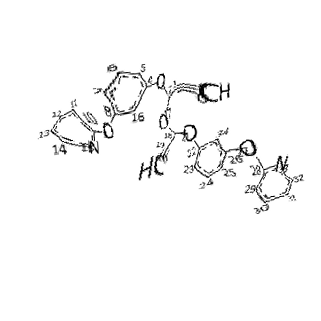 C#CC(Oc1cccc(Oc2ccccn2)c1)OC(C#C)Oc1cccc(Oc2ccccn2)c1